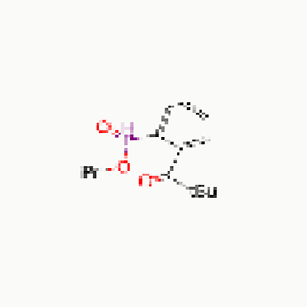 CC(C)O[PH](=O)c1ccccc1C(=O)C(C)(C)C